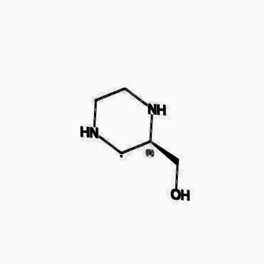 OC[C@H]1[CH]NCCN1